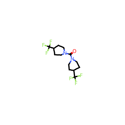 O=C(N1CCC(C(F)(F)F)CC1)N1CCC(C(F)(F)F)CC1